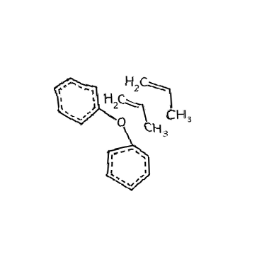 C=CC.C=CC.c1ccc(Oc2ccccc2)cc1